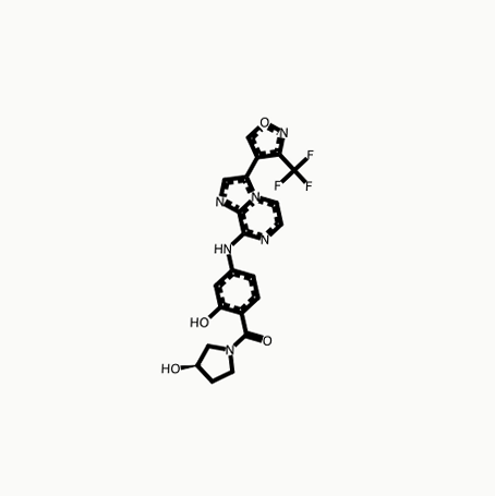 O=C(c1ccc(Nc2nccn3c(-c4conc4C(F)(F)F)cnc23)cc1O)N1CC[C@@H](O)C1